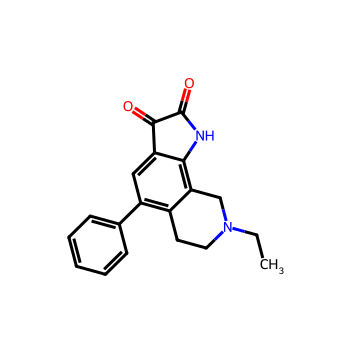 CCN1CCc2c(-c3ccccc3)cc3c(c2C1)NC(=O)C3=O